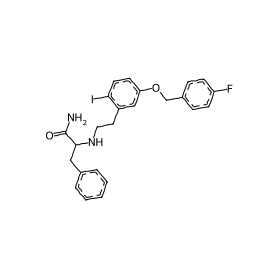 NC(=O)C(Cc1ccccc1)NCCc1cc(OCc2ccc(F)cc2)ccc1I